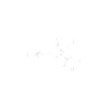 C=C[SiH2]CCC(N(CC)C(C)C)N(CC)C(C)C